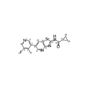 Cc1c(F)cncc1-c1cnc2nc(NC(=O)C3CC3)sc2c1